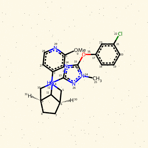 COc1cc(N2C[C@H]3CC[C@@H](C2)C3Nc2nc(Oc3cccc(Cl)c3)n(C)n2)ccn1